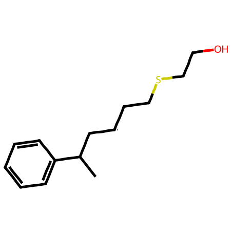 CC(C[CH]CCSCCO)c1ccccc1